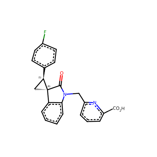 O=C(O)c1cccc(CN2C(=O)[C@@]3(C[C@H]3c3ccc(F)cc3)c3ccccc32)n1